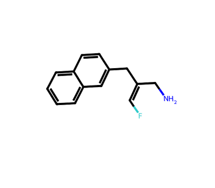 NCC(=CF)Cc1ccc2ccccc2c1